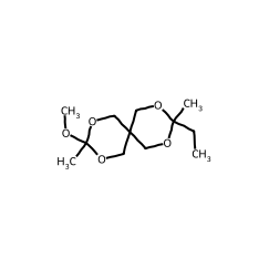 CCC1(C)OCC2(CO1)COC(C)(OC)OC2